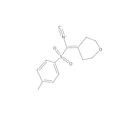 [C-]#[N+]C(=C1CCOCC1)S(=O)(=O)c1ccc(C)cc1